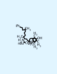 CCCCC(N)C(=O)O.Cc1c(C)c2c(c(C)c1O)CC[C@@](C)(CCC[C@H](C)CCC[C@H](C)CCCC(C)C)O2